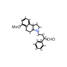 COc1cccc2c1CCC1C2CCN1CCC(C=O)c1ccccc1